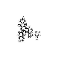 CN1CCN(C(=O)c2cn3c4c(c(NCCC5CCCN5C)c(F)cc4c2=O)Oc2c-3ccc3ccccc23)CC1